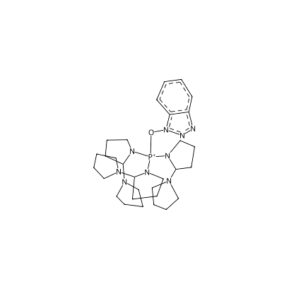 c1ccc2c(c1)nnn2O[P+](N1CCCC1N1CCCC1)(N1CCCC1N1CCCC1)N1CCCC1N1CCCC1